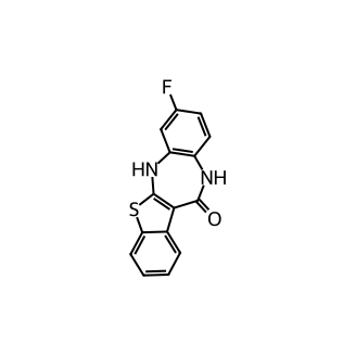 O=C1Nc2ccc(F)cc2Nc2sc3ccccc3c21